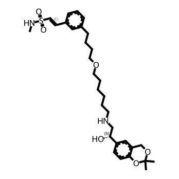 CNS(=O)(=O)/C=C/c1cccc(CCCCOCCCCCCNC[C@@H](O)c2ccc3c(c2)COC(C)(C)O3)c1